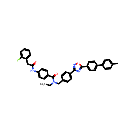 Cc1ccc(-c2ccc(-c3nc(-c4ccc(CN(CC(=O)O)C(=O)c5ccc(NC(=O)Cc6ccccc6F)cc5)cc4)no3)cc2)cc1